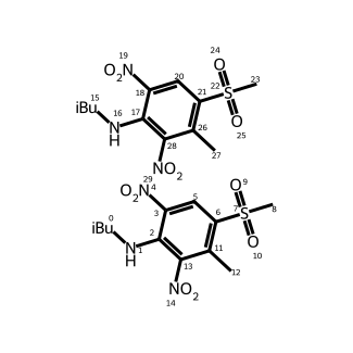 CCC(C)Nc1c([N+](=O)[O-])cc(S(C)(=O)=O)c(C)c1[N+](=O)[O-].CCC(C)Nc1c([N+](=O)[O-])cc(S(C)(=O)=O)c(C)c1[N+](=O)[O-]